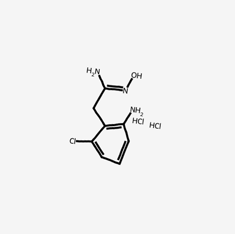 Cl.Cl.NC(Cc1c(N)cccc1Cl)=NO